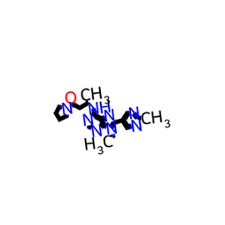 CCn1c(-c2cnc(C)nc2)nc2c(N[C@H](C)CC(=O)N3CCCC3)ncnc21